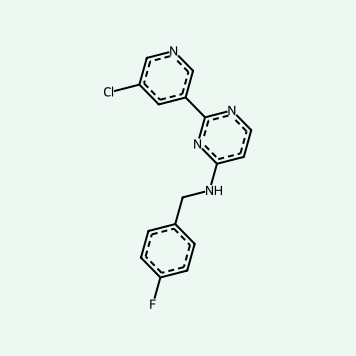 Fc1ccc(CNc2ccnc(-c3cncc(Cl)c3)n2)cc1